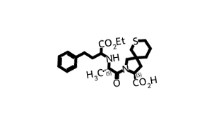 CCOC(=O)C(CCc1ccccc1)N[C@@H](C)C(=O)N1CC2(CCCSC2)C[C@H]1C(=O)O